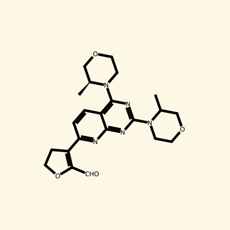 CC1COCCN1c1nc(N2CCOC[C@@H]2C)c2ccc(C3=C(C=O)OCC3)nc2n1